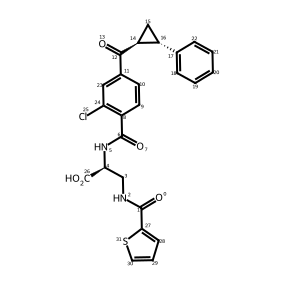 O=C(NC[C@H](NC(=O)c1ccc(C(=O)[C@H]2C[C@@H]2c2ccccc2)cc1Cl)C(=O)O)c1cccs1